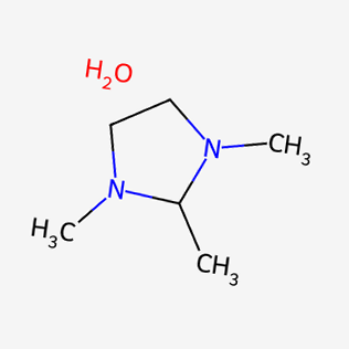 CC1N(C)CCN1C.O